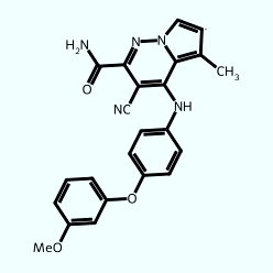 COc1cccc(Oc2ccc(Nc3c(C#N)c(C(N)=O)nn4c[c]c(C)c34)cc2)c1